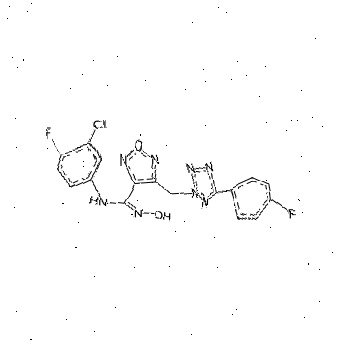 O/N=C(/Nc1ccc(F)c(Cl)c1)c1nonc1Cn1nnc(-c2ccc(F)cc2)n1